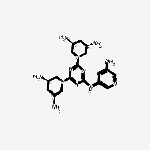 Nc1cncc(Nc2nc(N3C[C@H](N)C[C@H](N)C3)nc(N3C[C@H](N)C[C@H](N)C3)n2)c1